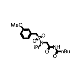 CCCCC(=O)NC(=O)CN(C(C)C)S(=O)(=O)Cc1cccc(OC)c1